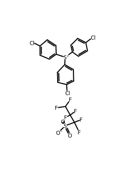 Clc1ccc([S+](c2ccc(Cl)cc2)c2ccc(Cl)cc2)cc1.O=S(=O)([O-])C(F)(F)C(F)(F)C(F)F